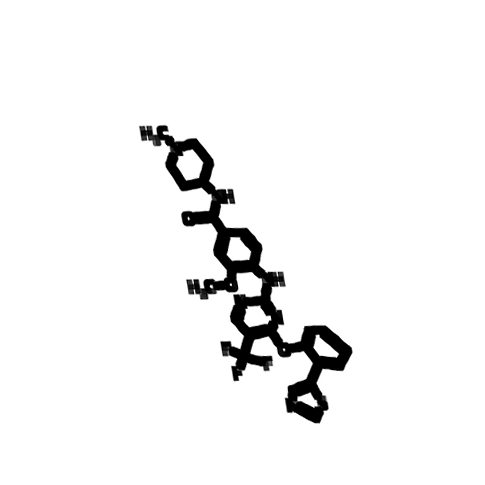 COc1cc(C(=O)NC2CCN(C)CC2)ccc1Nc1ncc(C(F)(F)F)c(Oc2ccccc2-c2cncs2)n1